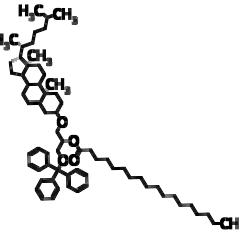 CCCCCCCCCCCCCCCCCC(=O)OC(COC1CC[C@@]2(C)C(=CCC3C2CC[C@@]2(C)C3CC[C@@H]2[C@H](C)CCCC(C)C)C1)COC(c1ccccc1)(c1ccccc1)c1ccccc1